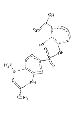 COc1ccc(S(=O)(=O)Nc2cccc(C(=O)O)c2O)cc1NC(C)=O